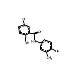 Cc1cc(NC(=O)c2cc(Cl)ccc2O)ccc1C#N